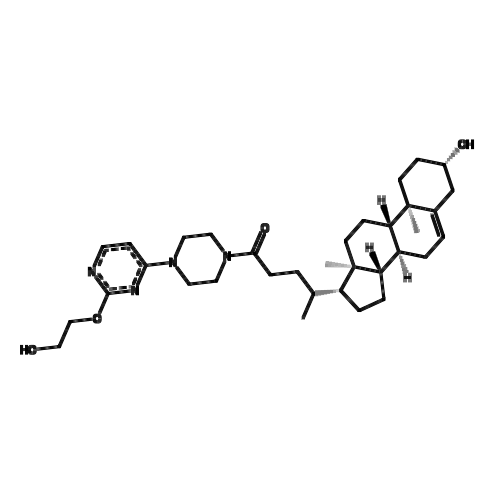 CC(CCC(=O)N1CCN(c2ccnc(OCCO)n2)CC1)[C@H]1CC[C@H]2[C@@H]3CC=C4C[C@@H](O)CC[C@]4(C)[C@H]3CC[C@]12C